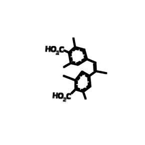 CC(=Cc1cc(C)c(C(=O)O)c(C)c1)c1cc(C)c(C(=O)O)c(C)c1